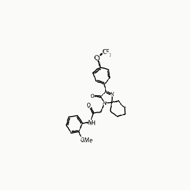 COc1ccccc1NC(=O)CN1C(=O)C(c2ccc(OC(F)(F)F)cc2)=NC12CCCCC2